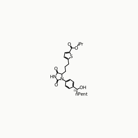 CCCCC[C@H](O)c1ccc(N2C(=O)NC(=O)C2CCCc2ccc(C(=O)OC(C)C)s2)cc1